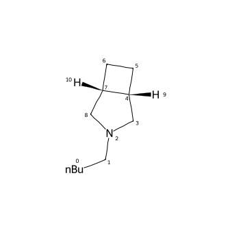 CCCCCN1C[C@H]2CC[C@H]2C1